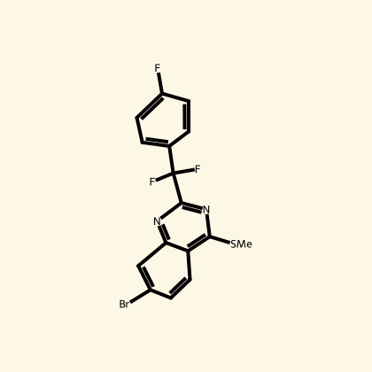 CSc1nc(C(F)(F)c2ccc(F)cc2)nc2cc(Br)ccc12